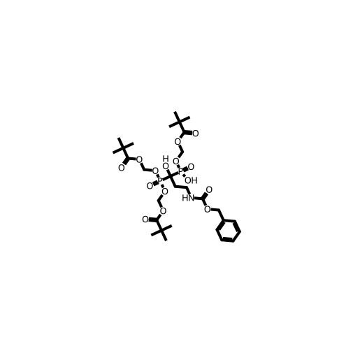 CC(C)(C)C(=O)OCOP(=O)(O)C(O)(CCNC(=O)OCc1ccccc1)P(=O)(OCOC(=O)C(C)(C)C)OCOC(=O)C(C)(C)C